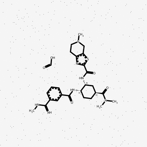 CNC(=N)c1cccc(C(=O)N[C@H]2CC[C@H](C(=O)N(C)C)C[C@H]2NC(=O)c2nc3c(s2)CN(C)CC3)c1.O=CO